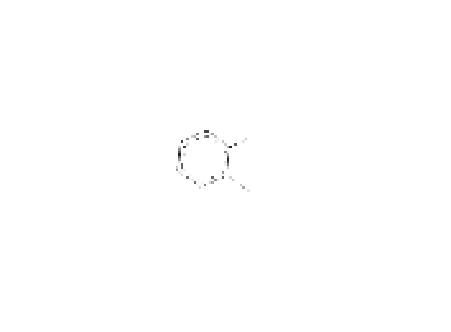 Nc1[c]cccc1N